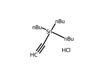 C#[C][Sn]([CH2]CCC)([CH2]CCC)[CH2]CCC.Cl